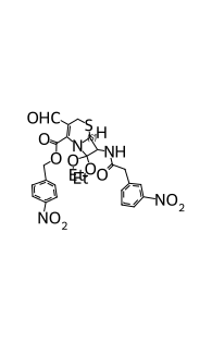 CCOC1(OCC)C(NC(=O)Cc2cccc([N+](=O)[O-])c2)[C@@H]2SCC(C=O)=C(C(=O)OCc3ccc([N+](=O)[O-])cc3)N21